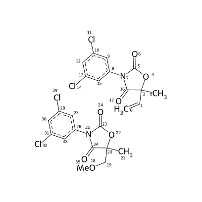 C=CC1(C)OC(=O)N(c2cc(Cl)cc(Cl)c2)C1=O.COCC1(C)OC(=O)N(c2cc(Cl)cc(Cl)c2)C1=O